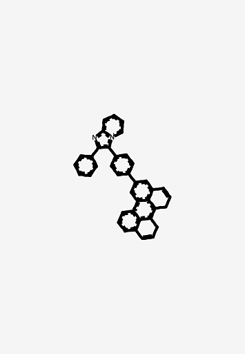 C1=Cc2cccc3c2c(c2c4c(cc(-c5ccc(-c6c(-c7ccccc7)nc7ccccn67)cc5)cc43)C=CC2)C1